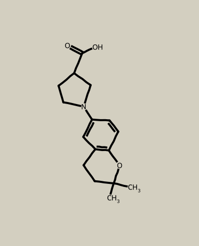 CC1(C)CCc2cc(N3CCC(C(=O)O)C3)ccc2O1